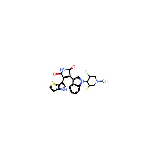 CN1CC(F)C(n2cc(C3=C(c4c[nH]c5ccsc45)C(=O)NC3=O)c3ccccc32)C(F)C1